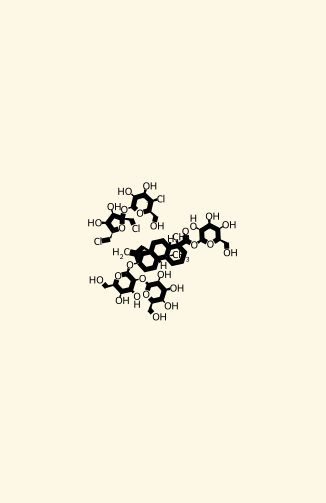 C=C1C[C@@]23CC[C@H]4[C@@](C)(CCC[C@@]4(C)C(=O)O[C@@H]4O[C@H](CO)[C@@H](O)[C@H](O)[C@H]4O)[C@@H]2CC[C@]1(O[C@@H]1O[C@H](CO)[C@@H](O)[C@H](O)[C@H]1O[C@@H]1O[C@H](CO)[C@@H](O)[C@H](O)[C@H]1O)C3.OC[C@H]1O[C@H](O[C@]2(CCl)O[C@H](CCl)[C@@H](O)[C@@H]2O)[C@H](O)[C@@H](O)[C@H]1Cl